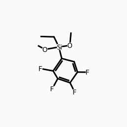 CC[Si](OC)(OC)c1cc(F)c(F)c(F)c1F